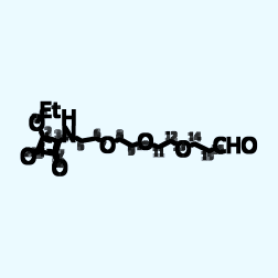 CCOc1c(NCCOCCOCCOCCC=O)c(=O)c1=O